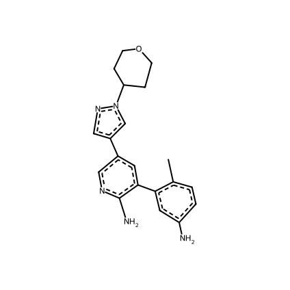 Cc1ccc(N)cc1-c1cc(-c2cnn(C3CCOCC3)c2)cnc1N